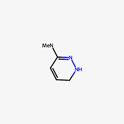 CNC1=NNCC=C1